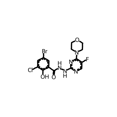 O=C(NNc1ncc(F)c(N2CCOCC2)n1)c1cc(Br)cc(Cl)c1O